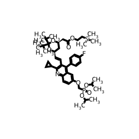 CC(C)OP(=O)(COc1ccc2nc(C3CC3)c(/C=C/[C@@H]3C[C@H](CC(=O)OCC[Si](C)(C)C)OC(C(C)(C)C)(C(C)(C)C)O3)c(-c3ccc(F)cc3)c2c1)OC(C)C